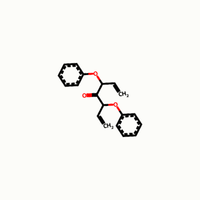 C=CC(Oc1ccccc1)C(=O)C(C=C)Oc1ccccc1